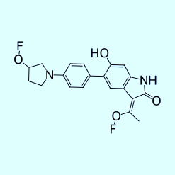 C/C(OF)=C1\C(=O)Nc2cc(O)c(-c3ccc(N4CCC(OF)C4)cc3)cc21